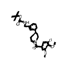 COc1cc(C(=O)N2CCC(c3cccc(CNC(=O)OC(C)(C)C)c3)CC2)cc(Cl)c1OC